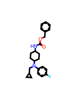 O=C(NC1CCC(N(CC2CC2)c2ccc(F)cc2)CC1)OCc1ccccc1